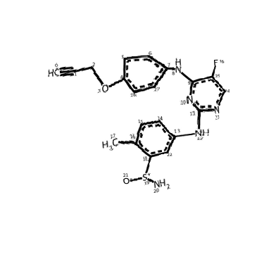 C#CCOc1ccc(Nc2nc(Nc3ccc(C)c([S+](N)[O-])c3)ncc2F)cc1